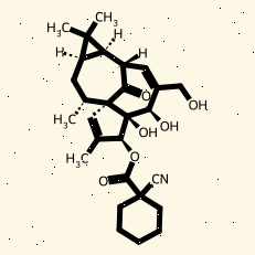 CC1=C[C@]23C(=O)[C@@H](C=C(CO)[C@@H](O)[C@]2(O)[C@H]1OC(=O)C1(C#N)CCCCC1)[C@H]1[C@@H](C[C@H]3C)C1(C)C